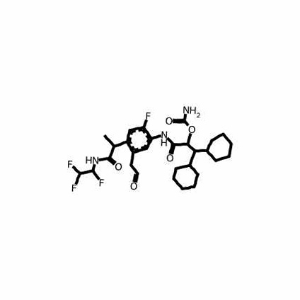 CC(C(=O)NC(F)C(F)F)c1cc(F)c(NC(=O)C(OC(N)=O)C(C2CCCCC2)C2CCCCC2)cc1CC=O